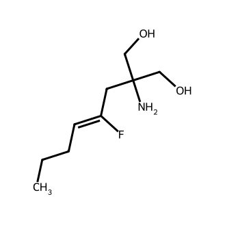 CCC/C=C(\F)CC(N)(CO)CO